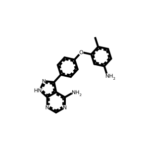 Cc1ccc(N)cc1Oc1ccc(-c2n[nH]c3ncnc(N)c23)cc1